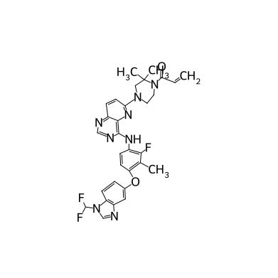 C=CC(=O)N1CCN(c2ccc3ncnc(Nc4ccc(Oc5ccc6c(c5)ncn6C(F)F)c(C)c4F)c3n2)CC1(C)C